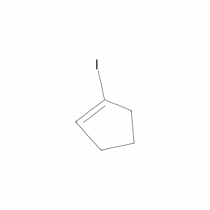 IC1=CCCC1